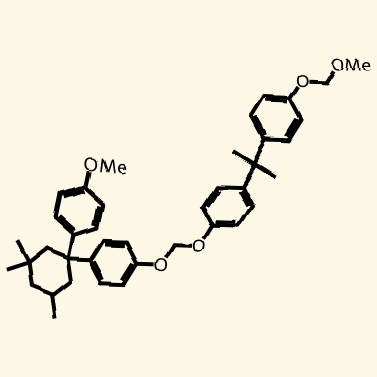 COCOc1ccc(C(C)(C)c2ccc(OCOc3ccc(C4(c5ccc(OC)cc5)CC(C)CC(C)(C)C4)cc3)cc2)cc1